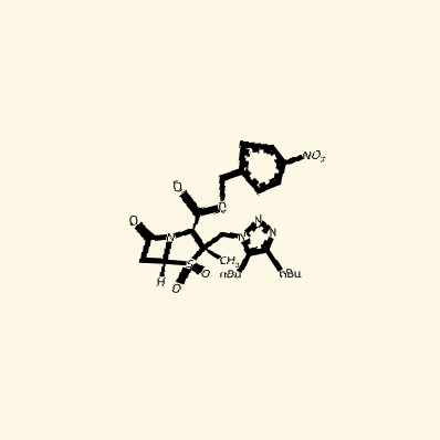 CCCCc1nnn(C[C@@]2(C)[C@H](C(=O)OCc3ccc([N+](=O)[O-])cc3)N3C(=O)C[C@H]3S2(=O)=O)c1CCCC